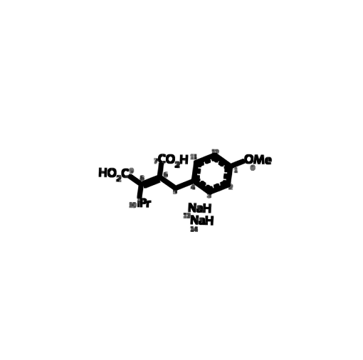 COc1ccc(C/C(C(=O)O)=C(/C(=O)O)C(C)C)cc1.[NaH].[NaH]